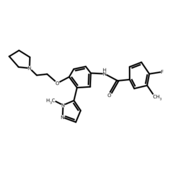 Cc1cc(C(=O)Nc2ccc(OCCN3CCCC3)c(-c3ccnn3C)c2)ccc1F